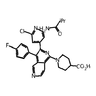 CC(C)C(N)=O.O=C(O)C1CCN(c2nc(-c3ccnc(Cl)c3)c(-c3ccc(F)cc3)c3cnccc23)CC1